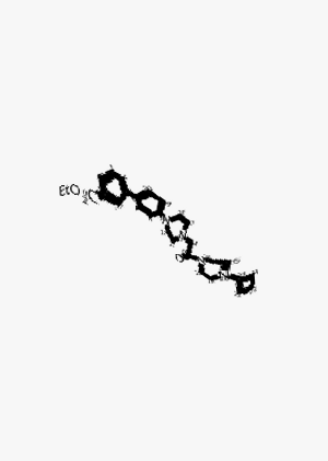 CCOC(=O)c1cccc(-c2ccc(N3CCN(CC(=O)N4CCN(C5CCC5)CC4)CC3)cc2)c1